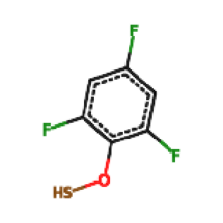 Fc1cc(F)c(OS)c(F)c1